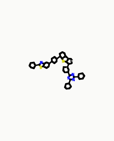 c1ccc(-c2nc(-c3ccccc3)nc(-c3cccc(-c4cccc5c4sc4c(-c6ccc(-c7ccc8sc(-c9ccccc9)nc8c7)cc6)cccc45)c3)n2)cc1